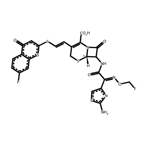 Nc1nc(C(=NOCF)C(=O)NC2C(=O)N3C(C(=O)O)=C(C=CSc4cc(=O)c5ccc(F)cc5s4)CS[C@@H]23)cs1